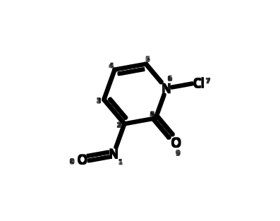 O=Nc1cccn(Cl)c1=O